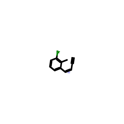 C#C/C=C\c1cccc(Br)c1C